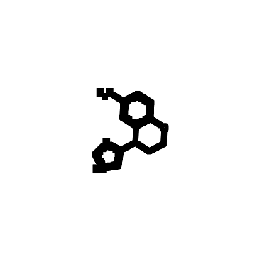 Nc1ccc2c(c1)C(c1c[nH]cn1)CCO2